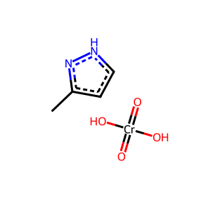 Cc1cc[nH]n1.[O]=[Cr](=[O])([OH])[OH]